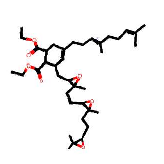 CCOC(=O)C1CC(CC/C=C(\C)CCC=C(C)C)=CC(CC2OC2(C)CCC2OC2(C)CCC2OC2(C)C)C1C(=O)OCC